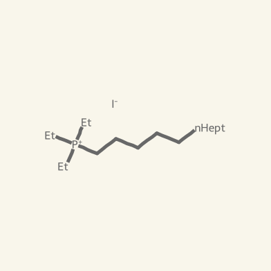 CCCCCCCCCCCC[P+](CC)(CC)CC.[I-]